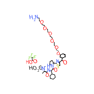 CC(C(=O)NC(C(=O)N1CCC[C@H]1c1nc(C(=O)c2cccc(OCCOCCOCCOCCOCCOCCN)c2)cs1)C1CCCCC1)N(C)C(=O)O.O=C(O)C(F)(F)F